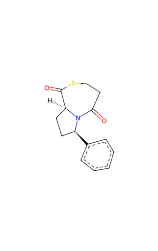 O=C1SCCC(=O)N2[C@@H](c3ccccc3)CC[C@@H]12